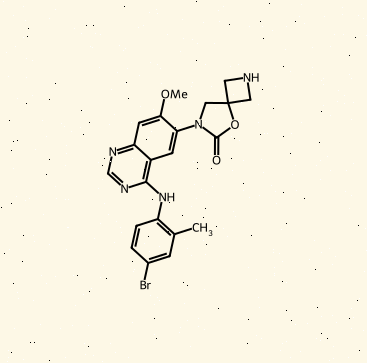 COc1cc2ncnc(Nc3ccc(Br)cc3C)c2cc1N1CC2(CNC2)OC1=O